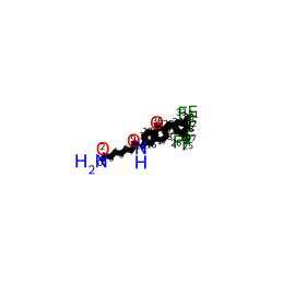 NC(=O)CCCCCC(=O)Nc1ccc2c(c1)CC/C(=C\c1cc(C(F)(F)F)cc(C(F)(F)F)c1)C2=O